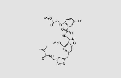 C=C(F)C(=O)NCc1cnn(Cc2cc(OC)c3c(NS(=O)(=O)c4cc(CC)ccc4OCC(=O)OC)noc3c2)c1